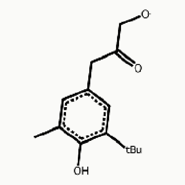 Cc1cc(CC(=O)C[O])cc(C(C)(C)C)c1O